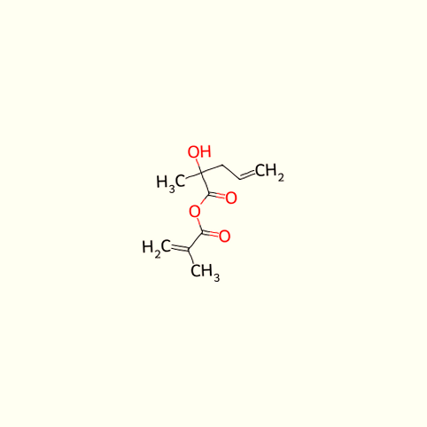 C=CCC(C)(O)C(=O)OC(=O)C(=C)C